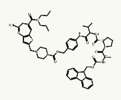 CCCN(CCC)C(=O)C1=Cc2sc(CN3CCN(C(=O)OCc4ccc(NC(=O)C(NC(=O)[C@@H]5CCCN5C(=O)[C@@H](C)NC(=O)OCC5c6ccccc6-c6ccccc65)C(C)C)cc4)CC3)cc2N=C(N)C1